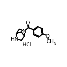 COc1ccc(C(=O)N2CC3CC2CN3)cc1.Cl